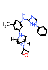 Cc1cc(Nc2ncn(-c3ccccc3)n2)cc(N2C[C@@H]3C[C@H]2CN3C2COC2)c1